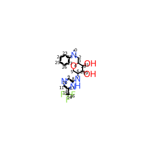 CN(CC1OCC(Nc2cncc(C(F)(F)F)n2)C(O)C1O)c1ccccc1